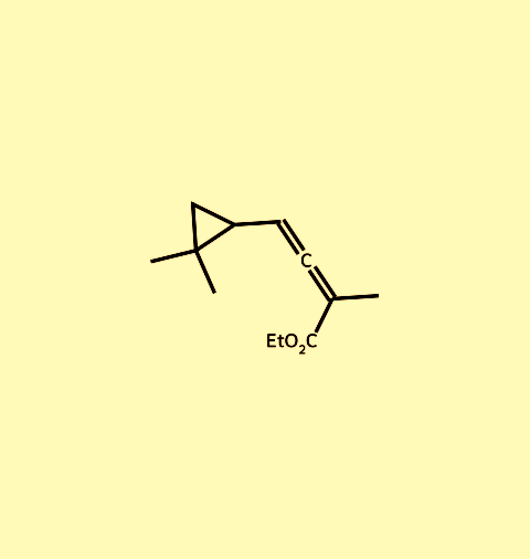 CCOC(=O)C(C)=C=CC1CC1(C)C